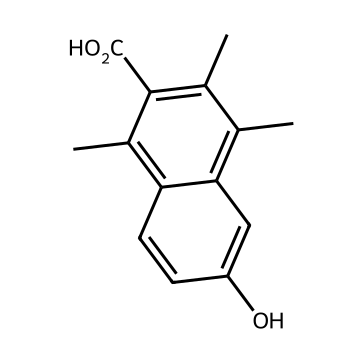 Cc1c(C(=O)O)c(C)c2ccc(O)cc2c1C